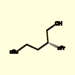 CCCCCC[C@H](CO)CCC